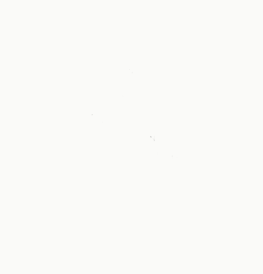 O=C(C[C@H]1CC[C@@H](O)CC1)N1CCC(=C2c3ccc(F)cc3Sc3ccc(C(F)(F)F)cc32)CC1